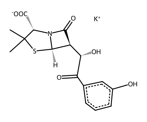 CC1(C)S[C@@H]2[C@H]([C@H](O)C(=O)c3cccc(O)c3)C(=O)N2[C@H]1C(=O)[O-].[K+]